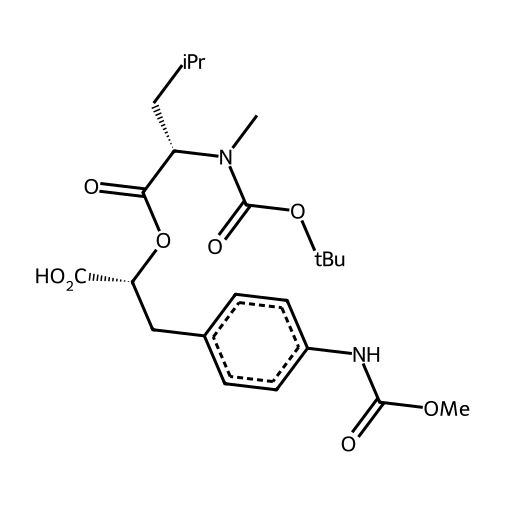 COC(=O)Nc1ccc(C[C@@H](OC(=O)[C@H](CC(C)C)N(C)C(=O)OC(C)(C)C)C(=O)O)cc1